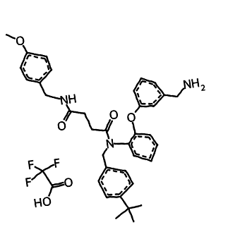 COc1ccc(CNC(=O)CCC(=O)N(Cc2ccc(C(C)(C)C)cc2)c2ccccc2Oc2cccc(CN)c2)cc1.O=C(O)C(F)(F)F